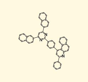 c1ccc(-c2cc(-c3ccc(-c4nc(-c5ccc6ccccc6c5)cc(-c5ccc6ccccc6c5)n4)cc3)c3c(ccc4ccccc43)n2)cc1